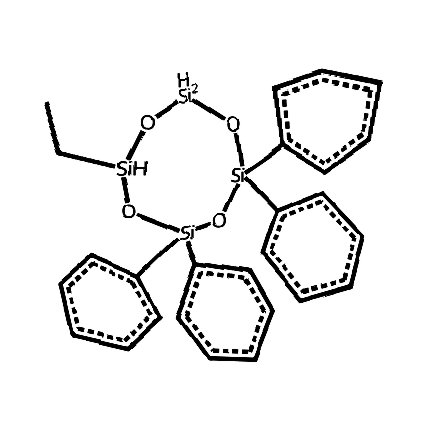 CC[SiH]1O[SiH2]O[Si](c2ccccc2)(c2ccccc2)O[Si](c2ccccc2)(c2ccccc2)O1